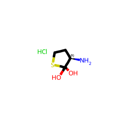 Cl.N[C@@H]1CCSC1(O)O